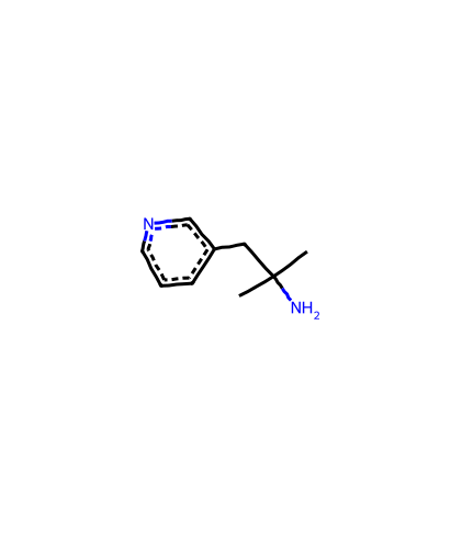 CC(C)(N)Cc1cccnc1